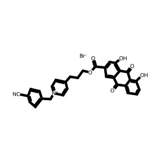 N#Cc1ccc(C[n+]2ccc(CCCOC(=O)c3cc(O)c4c(c3)C(=O)c3cccc(O)c3C4=O)cc2)cc1.[Br-]